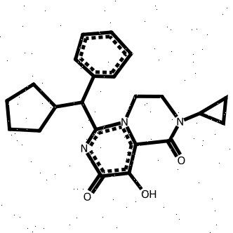 O=C1c2c(O)c(=O)nc(C(c3ccccc3)C3CCCC3)n2CCN1C1CC1